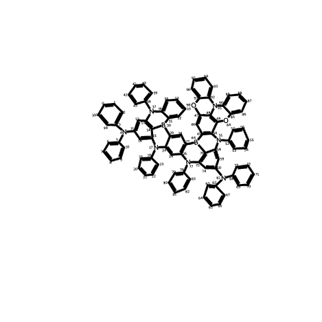 c1ccc(N(c2ccccc2)c2cc3c4c(c2)N(c2ccccc2)c2cc5c(cc2B4c2ccccc2N3c2ccccc2)B2c3cc4c6c(c3N(c3ccccc3)c3cc(N(c7ccccc7)c7ccccc7)cc(c32)N5c2ccccc2)Oc2ccccc2N6c2ccccc2O4)cc1